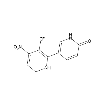 O=c1ccc(C2=C(C(F)(F)F)C([N+](=O)[O-])=CCN2)c[nH]1